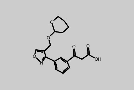 O=C(O)CC(=O)c1cccc(-c2nocc2COC2CCCCO2)c1